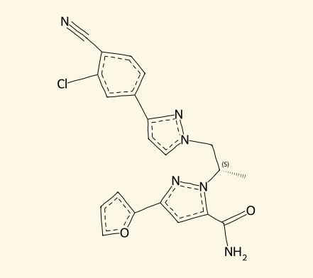 C[C@@H](Cn1ccc(-c2ccc(C#N)c(Cl)c2)n1)n1nc(-c2ccco2)cc1C(N)=O